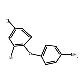 Nc1ccc(Oc2ccc(Cl)cc2Br)cc1